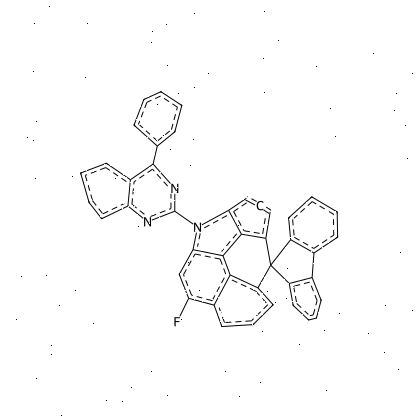 Fc1cc2c3c4c(cccc14)C1(c4ccccc4-c4ccccc41)c1cccc(c13)n2-c1nc(-c2ccccc2)c2ccccc2n1